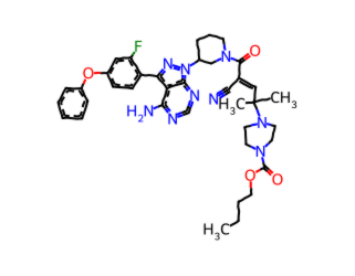 CCCCOC(=O)N1CCN(C(C)(C)C=C(C#N)C(=O)N2CCCC(n3nc(-c4ccc(Oc5ccccc5)cc4F)c4c(N)ncnc43)C2)CC1